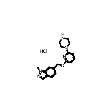 Cl.Cn1ncc2ccc(COc3cccc(N4CCNCC4)n3)cc21